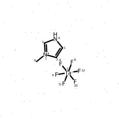 C[n+]1cc[nH]c1.[F][Ta-]([F])([F])([F])([F])[F]